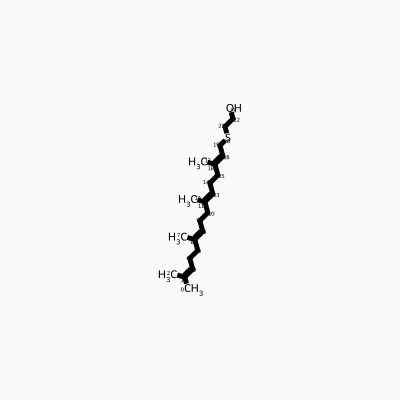 CC(C)=CCC/C(C)=C/CC/C(C)=C/CC/C(C)=C/CSCCO